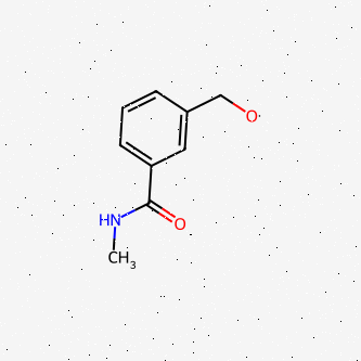 CNC(=O)c1cccc(C[O])c1